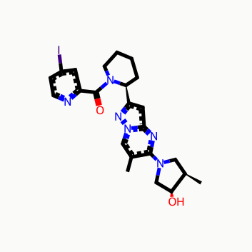 Cc1cn2nc([C@@H]3CCCCN3C(=O)c3cc(I)ccn3)cc2nc1N1C[C@@H](C)[C@@H](O)C1